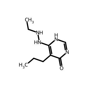 CCCc1c(NNCC)[nH]cnc1=O